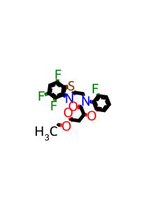 CCOC(=O)CC1Oc2cccc(F)c2N(Cc2nc3c(F)c(F)cc(F)c3s2)C1=O